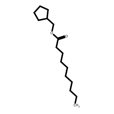 CCCCCCCCCC(=O)OCC1CCCC1